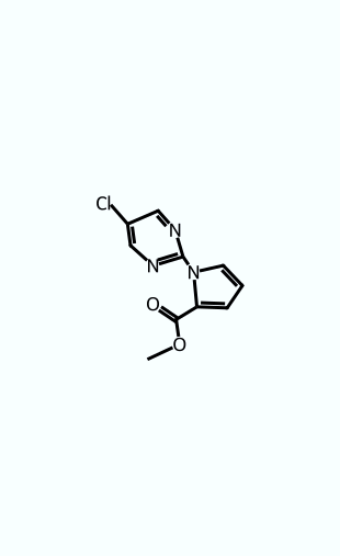 COC(=O)c1cccn1-c1ncc(Cl)cn1